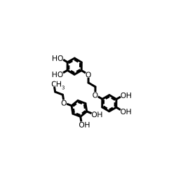 CCCOc1ccc(O)c(O)c1.Oc1ccc(OCCOc2ccc(O)c(O)c2)cc1O